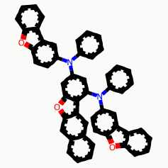 c1ccc(N(c2cc(N(c3ccccc3)c3ccc4oc5ccccc5c4c3)c3c(c2)oc2cc4ccccc4cc23)c2ccc3oc4ccccc4c3c2)cc1